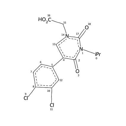 CC(C)n1c(=O)c(-c2ccc(Cl)c(Cl)c2)cn(CC(=O)O)c1=O